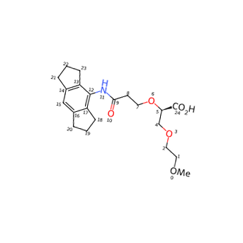 COCCOC[C@@H](OCCC(=O)Nc1c2c(cc3c1CCC3)CCC2)C(=O)O